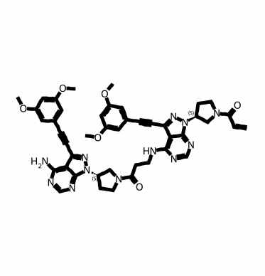 C=CC(=O)N1CC[C@H](n2nc(C#Cc3cc(OC)cc(OC)c3)c3c(NCCC(=O)N4CC[C@H](n5nc(C#Cc6cc(OC)cc(OC)c6)c6c(N)ncnc65)C4)ncnc32)C1